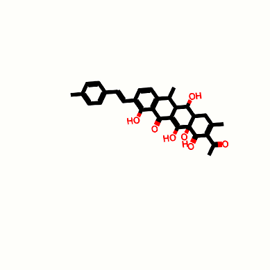 CC(=O)C1=C(C)CC2C(O)C3C(=C(O)C2(O)C1=O)C(=O)c1c(ccc(/C=C/c2ccc(C)cc2)c1O)C3C